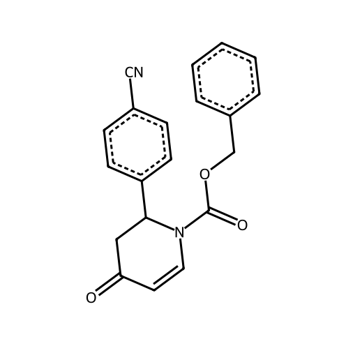 N#Cc1ccc(C2CC(=O)C=CN2C(=O)OCc2ccccc2)cc1